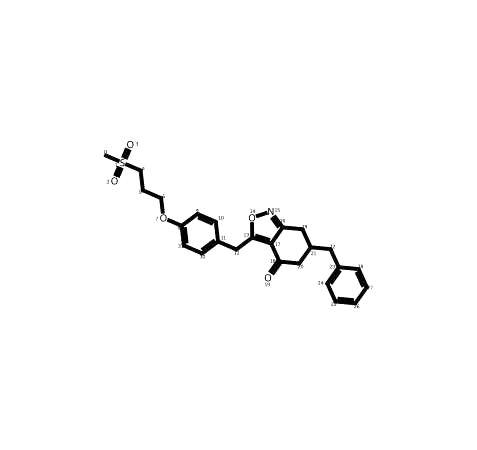 CS(=O)(=O)CCCOc1ccc(Cc2onc3c2C(=O)CC(Cc2ccccc2)C3)cc1